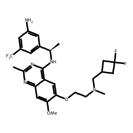 COc1cc2nc(C)nc(N[C@H](C)c3cc(N)cc(C(F)(F)F)c3)c2cc1OCCN(C)CC1CC(F)(F)C1